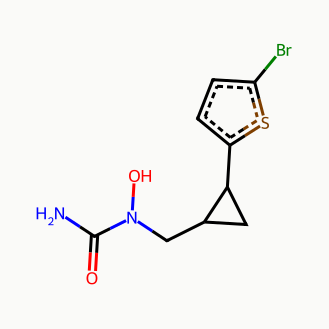 NC(=O)N(O)CC1CC1c1ccc(Br)s1